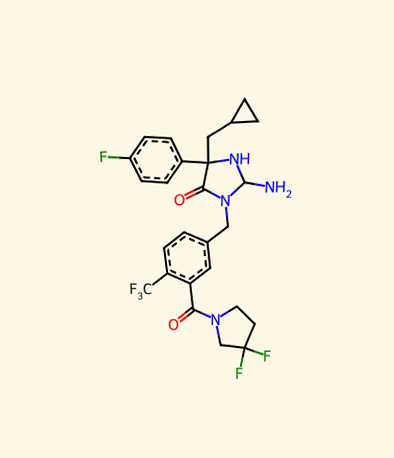 NC1NC(CC2CC2)(c2ccc(F)cc2)C(=O)N1Cc1ccc(C(F)(F)F)c(C(=O)N2CCC(F)(F)C2)c1